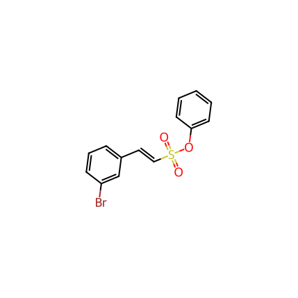 O=S(=O)(/C=C/c1cccc(Br)c1)Oc1ccccc1